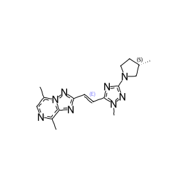 Cc1ncc(C)n2nc(/C=C/c3nc(N4CC[C@H](C)C4)nn3C)nc12